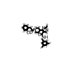 Cc1cc(C)cc(CNC(=O)c2cnc(C)nc2C2CCN(C(=O)Cc3ccccc3Cl)CC2)c1